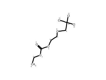 CCOC(=O)OC[CH]OCC(Cl)(Cl)Cl